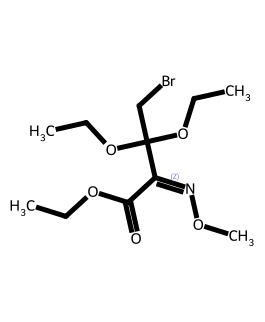 CCOC(=O)/C(=N\OC)C(CBr)(OCC)OCC